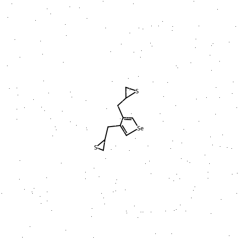 c1[se]cc(CC2CS2)c1CC1CS1